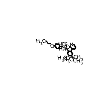 CCCCOc1ccc(C(=O)NCc2cc(OC)c(C(C)(C)C)cc2-c2cccnc2OC)cc1